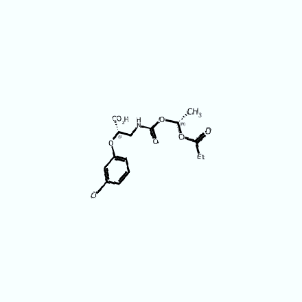 CCC(=O)O[C@@H](C)OC(=O)NC[C@H](Oc1cccc(Cl)c1)C(=O)O